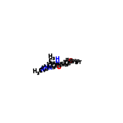 Cc1cc(N2CCN(C)CC2)nc2ccc(NC(=O)C=Cc3ccc(OCCC(C)C)cc3)cc12